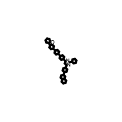 c1ccc(-c2nc(-c3ccc(-c4ccc(-c5ccc6c(c5)oc5ccccc56)cc4)cc3)cc(-c3ccc(-c4ccc5ccccc5c4)cc3)n2)cc1